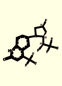 O=c1cc(C(F)(F)F)c2cc(N3C[C@@H](F)C[C@@H]3[C@H](F)C(F)(F)F)ccc2[nH]1